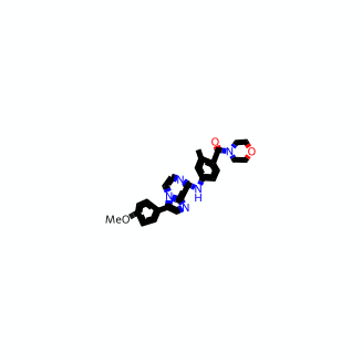 COc1ccc(-c2cnc3c(Nc4ccc(C(=O)N5CCOCC5)c(C)c4)nccn23)cc1